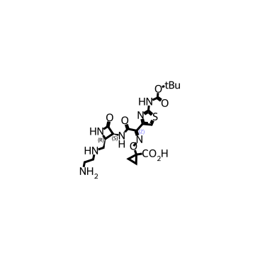 CC(C)(C)OC(=O)Nc1nc(/C(=N/OC2(C(=O)O)CC2)C(=O)N[C@@H]2C(=O)N[C@@H]2CNCCN)cs1